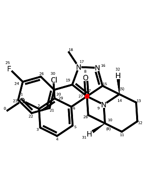 COc1cccc(C(=O)N2[C@@H]3CCC[C@H]2c2nn(C)c(-c4cccc(F)c4)c2C3)c1Cl